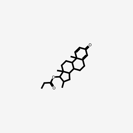 CCC(=O)OC1C(C)CC2C3CCC4=CC(=O)C=CC4(C)C3CCC21C